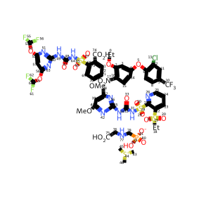 CCOc1cc(Oc2ccc(C(F)(F)F)cc2Cl)ccc1[N+](=O)[O-].CCS(=O)(=O)c1cccnc1S(=O)(=O)NC(=O)Nc1nc(OC)cc(OC)n1.C[S+](C)C.O=C(Nc1nc(OC(F)F)cc(OC(F)F)n1)NS(=O)(=O)c1ccccc1C(=O)O.O=C(O)CNCP(=O)([O-])O